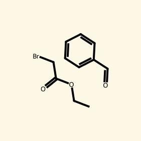 CCOC(=O)CBr.O=Cc1ccccc1